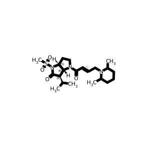 CC(C)[C@H]1C(=O)N(S(C)(=O)=O)[C@H]2CCN(C(=O)/C=C/CN3C(C)CCCC3C)[C@H]12